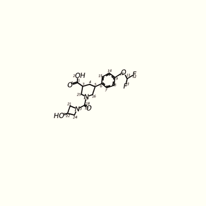 O=C(O)C1CC(c2ccc(OC(F)F)cc2)CN(C(=O)N2CC(O)C2)C1